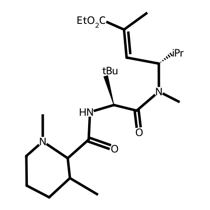 CCOC(=O)/C(C)=C/[C@H](C(C)C)N(C)C(=O)[C@@H](NC(=O)C1C(C)CCCN1C)C(C)(C)C